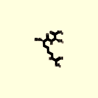 CN[C@@H](CCCCNC(=N)N)C(=O)N[C@@H](C)C(N)=O